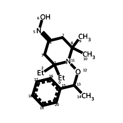 CCC1(CC)CC(=NO)CC(C)(C)N1OC(C)c1ccccc1